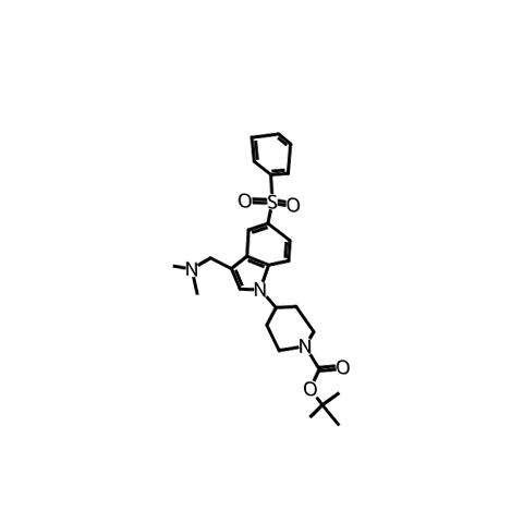 CN(C)Cc1cn(C2CCN(C(=O)OC(C)(C)C)CC2)c2ccc(S(=O)(=O)c3ccccc3)cc12